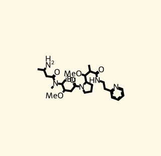 CCC(C)C(C(CC(=O)N1CCCC1C(OC)C(C)C(=O)NCCc1ccccn1)OC)N(C)C(=O)CC(C)N